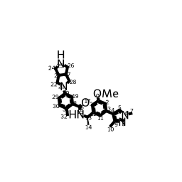 COc1cc(-c2cn(C)nc2C)cc([C@@H](C)NC(=O)c2cc(N3CC4CNCC4C3)ccc2C)c1